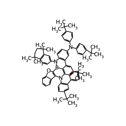 CC(C)(C)c1ccc(N(c2ccc(C(C)(C)C)cc2)c2ccc3c(c2)-c2cc(C(C)(C)C)cc4c2B(c2oc5ccccc5c2N4c2ccc(C(C)(C)C)cc2-c2ccccc2)N3c2ccc3c(c2)C(C)(C)CCC3(C)C)cc1